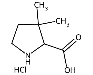 CC1(C)CCNC1C(=O)O.Cl